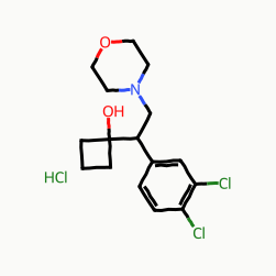 Cl.OC1(C(CN2CCOCC2)c2ccc(Cl)c(Cl)c2)CCC1